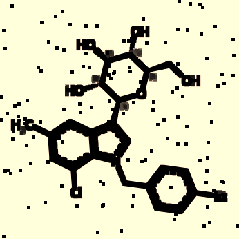 CCc1ccc(Cn2cc([C@@H]3O[C@H](CO)[C@@H](O)[C@H](O)[C@H]3O)c3cc(C)cc(Cl)c32)cc1